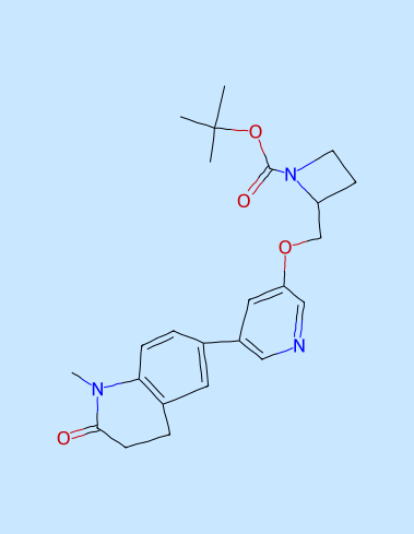 CN1C(=O)CCc2cc(-c3cncc(OCC4CCN4C(=O)OC(C)(C)C)c3)ccc21